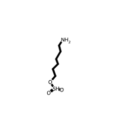 NCCCCCCO[SH](=O)=O